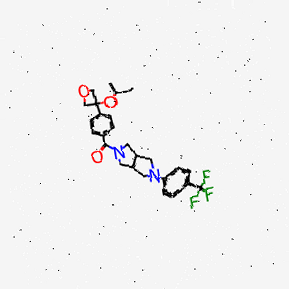 CC(C)OC1(c2ccc(C(=O)N3CC4CN(c5ccc(C(F)(F)F)cc5)CC4C3)cc2)COC1